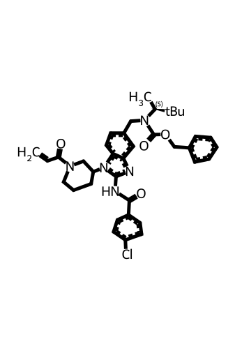 C=CC(=O)N1CCCC(n2c(NC(=O)c3ccc(Cl)cc3)nc3cc(CN(C(=O)OCc4ccccc4)[C@@H](C)C(C)(C)C)ccc32)C1